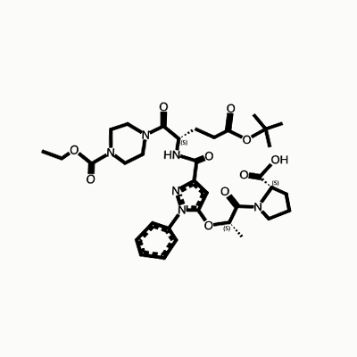 CCOC(=O)N1CCN(C(=O)[C@H](CCC(=O)OC(C)(C)C)NC(=O)c2cc(O[C@@H](C)C(=O)N3CCC[C@H]3C(=O)O)n(-c3ccccc3)n2)CC1